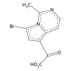 Cc1nccc2c(C(=O)C(=O)O)cc(Br)n12